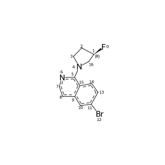 F[C@@H]1CCN(c2nccc3cc(Br)ccc23)C1